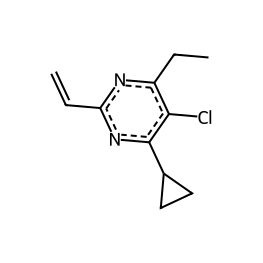 C=Cc1nc(CC)c(Cl)c(C2CC2)n1